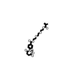 C=C(C)C(=O)OCCOCCOCCOC(=O)c1ccc(N2C(=O)CCC(=O)S2(=O)=O)cc1